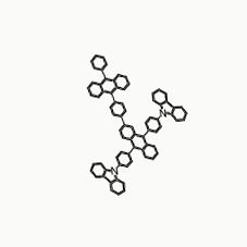 c1ccc(-c2c3ccccc3c(-c3ccc(-c4ccc5c(-c6ccc(-n7c8ccccc8c8ccccc87)cc6)c6ccccc6c(-c6ccc(-n7c8ccccc8c8ccccc87)cc6)c5c4)cc3)c3ccccc23)cc1